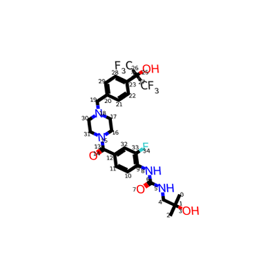 CC(C)(O)CNC(=O)Nc1ccc(C(=O)N2CCN(Cc3ccc(C(O)(C(F)(F)F)C(F)(F)F)cc3)CC2)cc1F